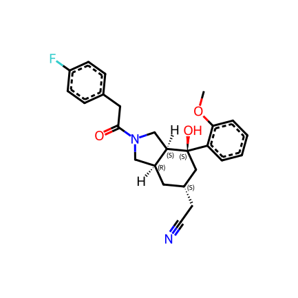 COc1ccccc1[C@]1(O)C[C@H](CC#N)C[C@H]2CN(C(=O)Cc3ccc(F)cc3)C[C@H]21